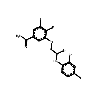 NC(=O)c1cc(F)c(F)c(OCC(Br)Nc2ccc(I)cc2Br)c1